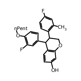 CCCCCOc1ccc(C2c3ccc(O)cc3OCC2c2ccc(F)cc2C)cc1F